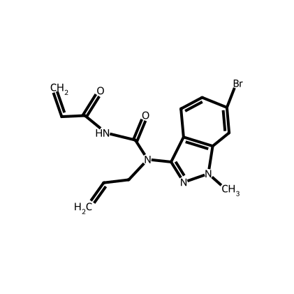 C=CCN(C(=O)NC(=O)C=C)c1nn(C)c2cc(Br)ccc12